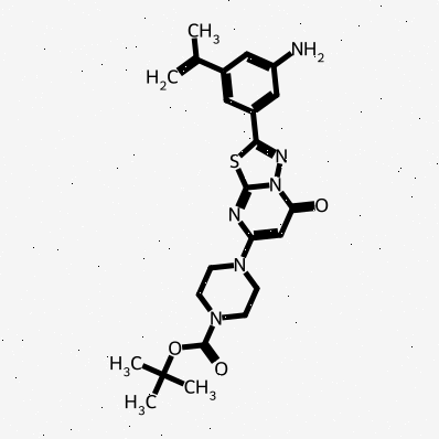 C=C(C)c1cc(N)cc(-c2nn3c(=O)cc(N4CCN(C(=O)OC(C)(C)C)CC4)nc3s2)c1